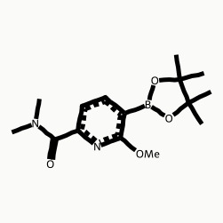 COc1nc(C(=O)N(C)C)ccc1B1OC(C)(C)C(C)(C)O1